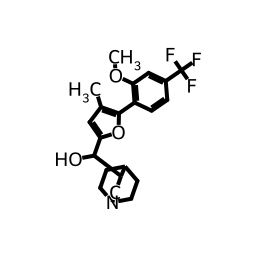 COc1cc(C(F)(F)F)ccc1-c1oc(C(O)C2CN3CCC2CC3)cc1C